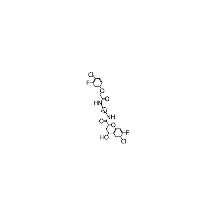 O=C(COc1ccc(Cl)c(F)c1)NC12CC(NC(=O)[C@@H]3C[C@H](O)c4cc(Cl)c(F)cc4O3)(C1)C2